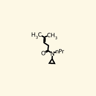 CCCN(C(=O)CC=C(C)C)C1CC1